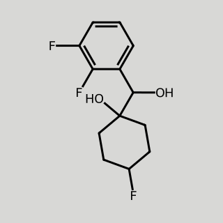 OC(c1cccc(F)c1F)C1(O)CCC(F)CC1